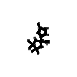 Cn1cc([B-]2(O)OC(C)(C)C(C)(C)O2)cn1